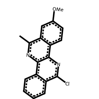 COc1ccc2c(c1)c(C)nc1c3ccccc3c(Cl)nc21